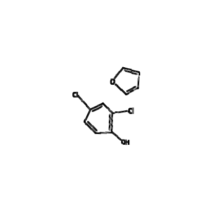 Oc1ccc(Cl)cc1Cl.c1ccoc1